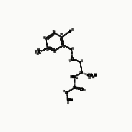 CC(C)(C)OC(=O)N[C@H](COCc1cc(C(F)(F)F)ccc1F)C(=O)O